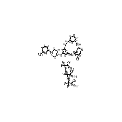 Clc1nccc(N2CCN(Cc3cc4cc(c3)Nc3nc(ncc3Cl)Nc3cccc(c3)CC4)CC2)n1.O=C(O)C(F)(F)F.O=C(O)C(F)(F)F.O=C(O)C(F)(F)F